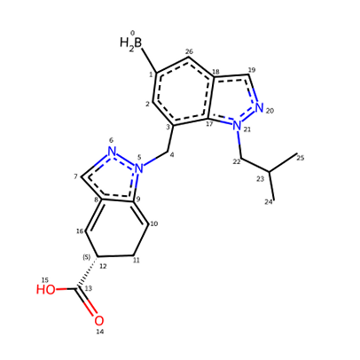 Bc1cc(Cn2ncc3c2=CC[C@H](C(=O)O)C=3)c2c(cnn2CC(C)C)c1